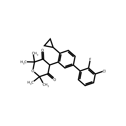 CC1(C)OC(C)(C)C(=O)C(c2cc(-c3cccc(Cl)c3F)ccc2C2CC2)C1=O